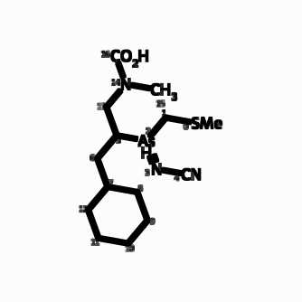 CSC[AsH](=NC#N)C(CC1CCCCC1)CN(C)C(=O)O